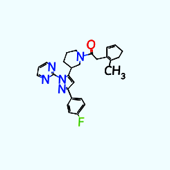 CC1=C(CC(=O)N2CCCC(c3cc(-c4ccc(F)cc4)nn3-c3ncccn3)C2)C=CCC1